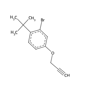 C#CCOc1ccc(C(C)(C)C)c(Br)c1